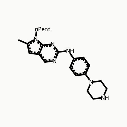 CCCCCn1c(C)cc2cnc(Nc3ccc(N4CCNCC4)cc3)nc21